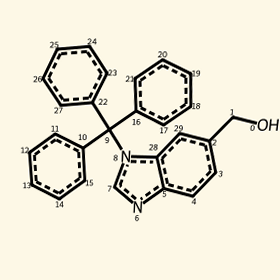 OCc1ccc2ncn(C(c3ccccc3)(c3ccccc3)c3ccccc3)c2c1